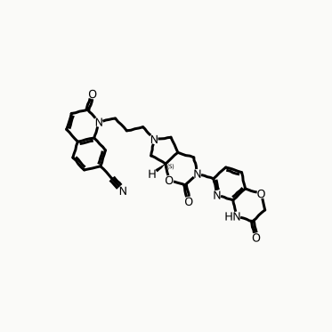 N#Cc1ccc2ccc(=O)n(CCCN3CC4CN(c5ccc6c(n5)NC(=O)CO6)C(=O)O[C@@H]4C3)c2c1